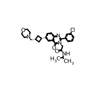 CC(C)NC(=O)Cn1c(-c2cccc(Cl)c2)nc2ccc([C@H]3C[C@@H](CN4CCOCC4)C3)cc2c1=O